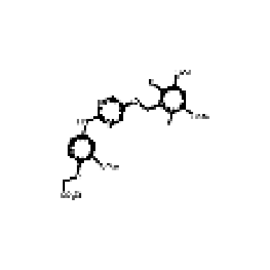 CCOC(=O)COc1ccc(Nc2ncc(OCc3c(F)c(OC)cc(OC)c3F)cn2)cc1OC